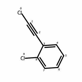 ClC#Cc1ccccc1Cl